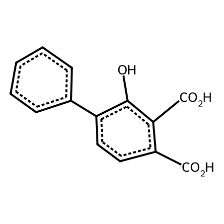 O=C(O)c1ccc(-c2ccccc2)c(O)c1C(=O)O